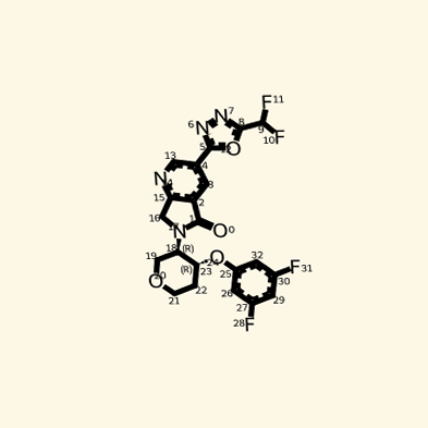 O=C1c2cc(-c3nnc(C(F)F)o3)cnc2CN1[C@@H]1COCC[C@H]1Oc1cc(F)cc(F)c1